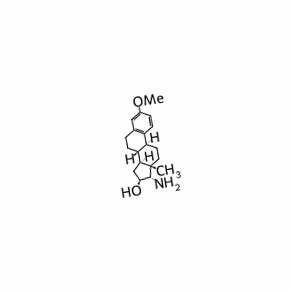 COc1ccc2c(c1)CC[C@@H]1[C@@H]2CC[C@]2(C)[C@H](N)[C@@H](O)C[C@@H]12